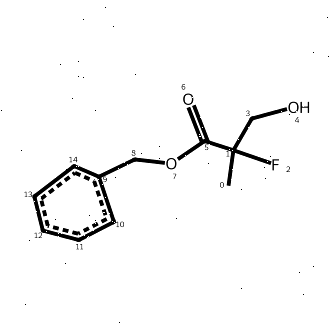 CC(F)(CO)C(=O)OCc1ccccc1